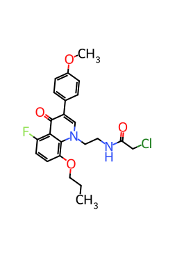 CCCOc1ccc(F)c2c(=O)c(-c3ccc(OC)cc3)cn(CCNC(=O)CCl)c12